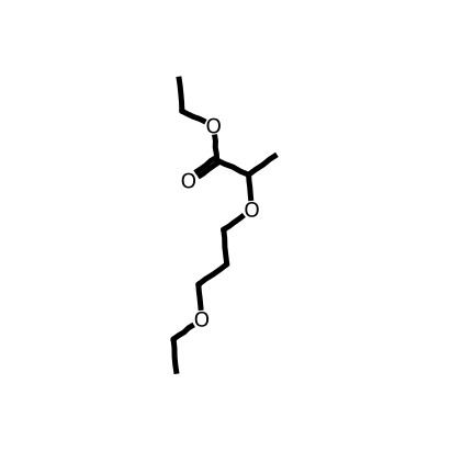 CCOCCCOC(C)C(=O)OCC